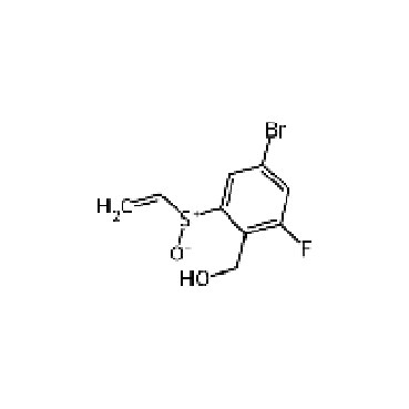 C=C[S+]([O-])c1cc(Br)cc(F)c1CO